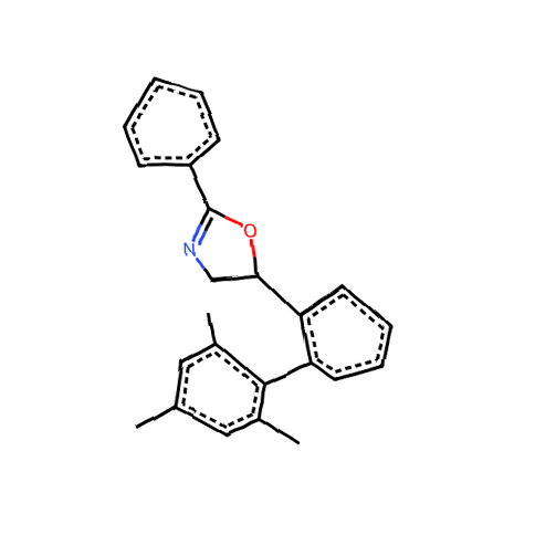 Cc1cc(C)c(-c2ccccc2C2CN=C(c3ccccc3)O2)c(C)c1